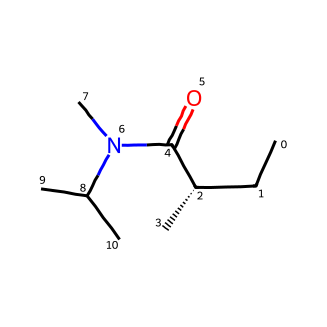 CC[C@H](C)C(=O)N(C)C(C)C